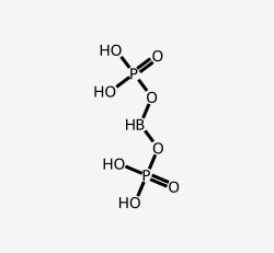 O=P(O)(O)OBOP(=O)(O)O